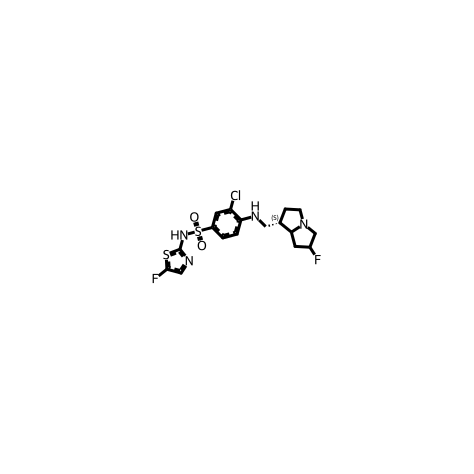 O=S(=O)(Nc1ncc(F)s1)c1ccc(NC[C@@H]2CCN3CC(F)CC23)c(Cl)c1